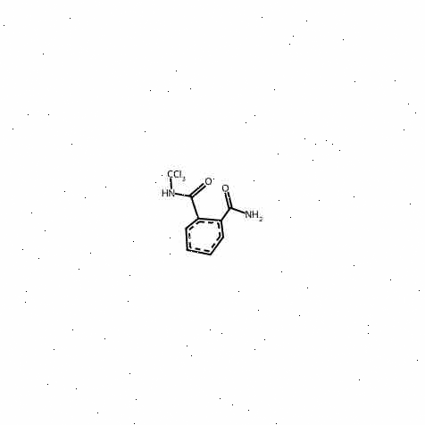 NC(=O)c1ccccc1C(=O)NC(Cl)(Cl)Cl